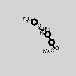 COC(=O)c1ccc(-c2ccc3[nH]c(COc4ccc(C(F)(F)F)cc4)nc3c2)cc1